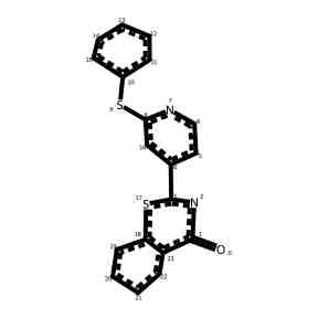 O=c1nc(-c2ccnc(Sc3ccccc3)c2)sc2ccccc12